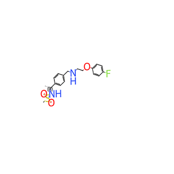 C[C@@H](NS(C)(=O)=O)c1ccc(CNCCOc2ccc(F)cc2)cc1